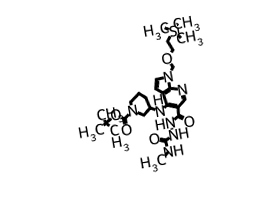 CNC(=O)NNC(=O)c1cnc2c(ccn2COCC[Si](C)(C)C)c1NC1CCCN(C(=O)OC(C)(C)C)C1